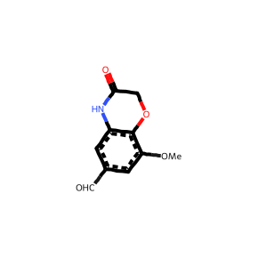 COc1cc(C=O)cc2c1OCC(=O)N2